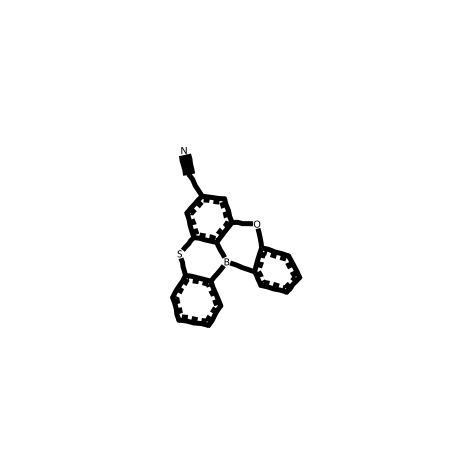 N#Cc1cc2c3c(c1)Sc1ccccc1B3c1ccccc1O2